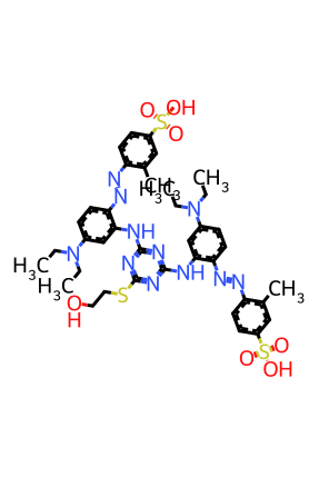 CCN(CC)c1ccc(/N=N/c2ccc(S(=O)(=O)O)cc2C)c(Nc2nc(Nc3cc(N(CC)CC)ccc3/N=N/c3ccc(S(=O)(=O)O)cc3C)nc(SCCO)n2)c1